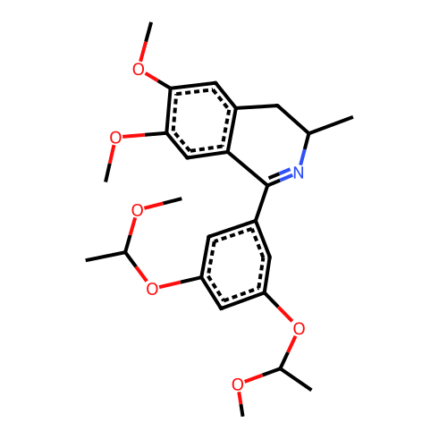 COc1cc2c(cc1OC)C(c1cc(OC(C)OC)cc(OC(C)OC)c1)=NC(C)C2